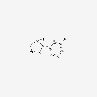 Brc1cccc(C23CNCC2C3)c1